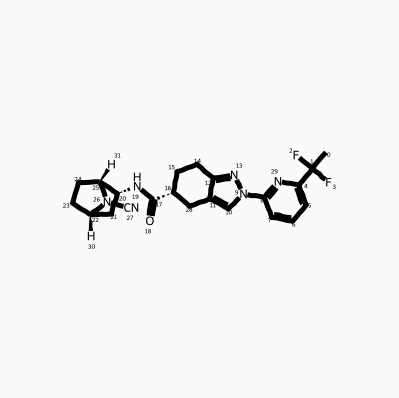 CC(F)(F)c1cccc(-n2cc3c(n2)CC[C@@H](C(=O)N[C@@H]2C[C@@H]4CC[C@H]2N4C#N)C3)n1